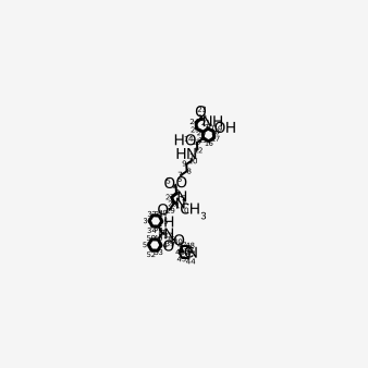 Cn1nc(C(=O)OCCCCNCC(O)c2ccc(O)c3[nH]c(=O)ccc23)cc1COc1cccc([C@@H](NC(=O)OC2CN3CCC2CC3)c2ccccc2)c1